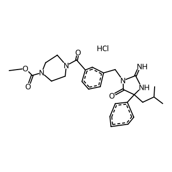 COC(=O)N1CCN(C(=O)c2cccc(CN3C(=N)NC(CC(C)C)(c4ccccc4)C3=O)c2)CC1.Cl